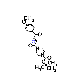 COc1ccc(C(=O)/C=C/C(=O)N2CCN(C(=O)OC(C)(C)C)CC2)cc1